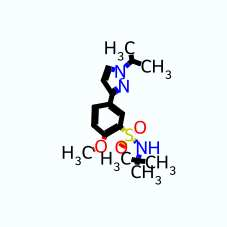 COc1ccc(-c2ccn(C(C)C)n2)cc1S(=O)(=O)NC(C)(C)C